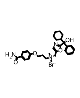 C[N+](C)(CCCOc1ccc(C(N)=O)cc1)Cc1cnc(C(O)(c2ccccc2)C2CCCCC2)o1.[Br-]